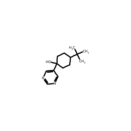 CC(C)(C)C1CCC(O)(c2cncnc2)CC1